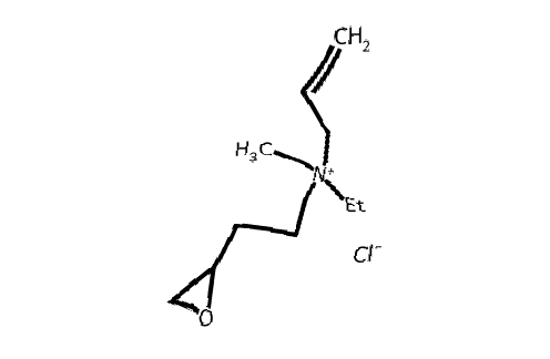 C=CC[N+](C)(CC)CCC1CO1.[Cl-]